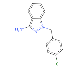 Nc1nn(Cc2ccc(Cl)cc2)c2ccccc12